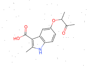 CC(=O)C(C)Oc1ccc2[nH]c(C)c(C(=O)O)c2c1